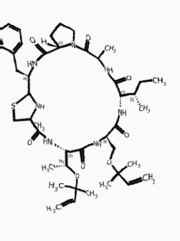 C=CC(C)(C)OC[C@H]1NC(=O)[C@H]([C@@H](C)OC(C)(C)C=C)NC(=O)C2(C)CSC(N2)[C@@H](Cc2ccccc2)NC(=O)[C@@H]2CCCN2C(=O)C(C)NC(=O)[C@H]([C@@H](C)CC)NC1=O